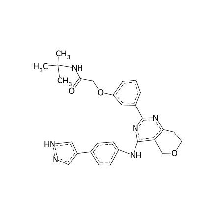 CC(C)(C)NC(=O)COc1cccc(-c2nc3c(c(Nc4ccc(-c5cn[nH]c5)cc4)n2)COCC3)c1